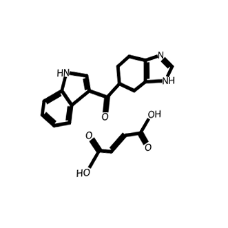 O=C(O)C=CC(=O)O.O=C(c1c[nH]c2ccccc12)C1CCc2nc[nH]c2C1